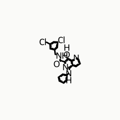 O=C(NCc1cc(Cl)cc(Cl)c1)c1nc(Nc2ccccc2)c2cccnc2c1O